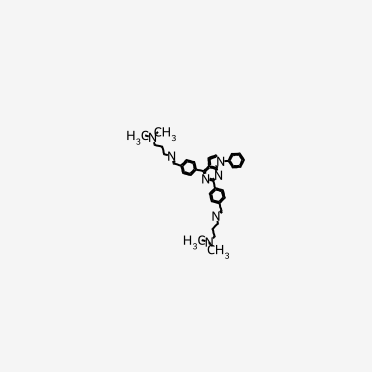 CN(C)CCCN=Cc1ccc(-c2nc(-c3ccc(C=NCCCN(C)C)cc3)c3ccn(-c4ccccc4)c3n2)cc1